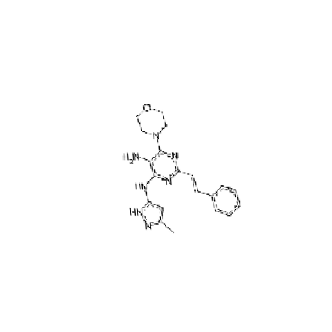 Cc1cc(Nc2nc(/C=C/c3ccccc3)nc(N3CCOCC3)c2N)[nH]n1